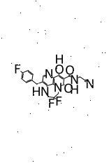 N#CCNC(=O)c1c(O)c2ncc(Cc3ccc(F)cc3)c3c2n(c1=O)CC(F)(F)CN3